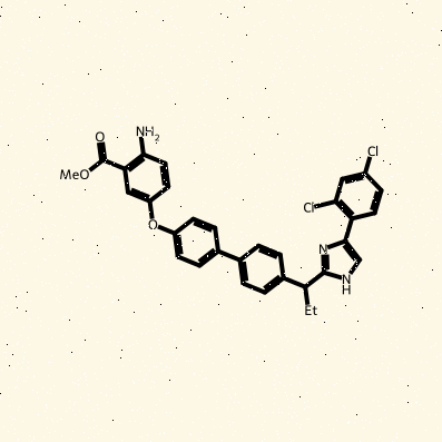 CCC(c1ccc(-c2ccc(Oc3ccc(N)c(C(=O)OC)c3)cc2)cc1)c1nc(-c2ccc(Cl)cc2Cl)c[nH]1